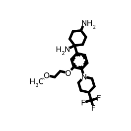 COCCOc1cc(C2(N)CCC(N)CC2)ccc1N1CCC(C(F)(F)F)CC1